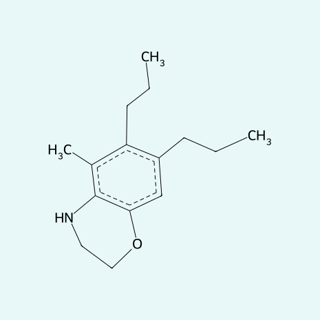 CCCc1cc2c(c(C)c1CCC)NCCO2